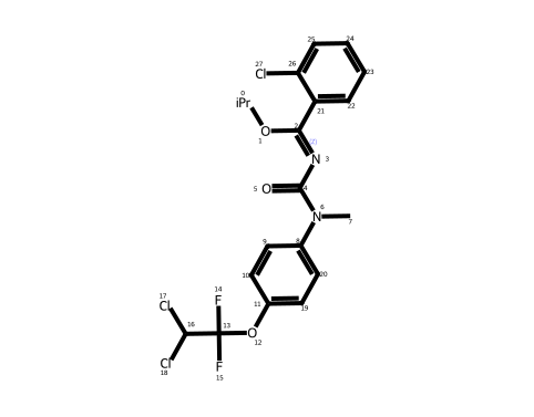 CC(C)O/C(=N\C(=O)N(C)c1ccc(OC(F)(F)C(Cl)Cl)cc1)c1ccccc1Cl